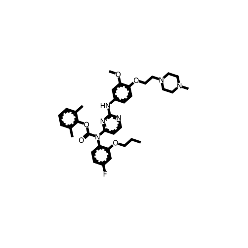 CCCOc1cc(F)ccc1N(C(=O)Oc1c(C)cccc1C)c1ccnc(Nc2ccc(OCCN3CCN(C)CC3)c(OC)c2)n1